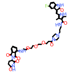 Cc1[nH]c(/C=C2\C(=O)Nc3ccc(F)cc32)c(C)c1C(=O)NCCCN1CCN(C(=O)CCOCCOCCOCCNc2cccc3c2C(=O)N(C2CCC(=O)NC2=O)C3=O)CC1